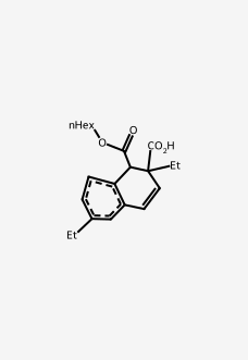 CCCCCCOC(=O)C1c2ccc(CC)cc2C=CC1(CC)C(=O)O